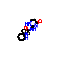 CC1(NC(=O)Nc2nc(=O)cc[nH]2)CCCCC1